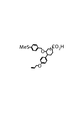 C=CCOc1ccc(C2CCN(C(=O)O)CC2OCc2ccc(SC)cc2)cc1